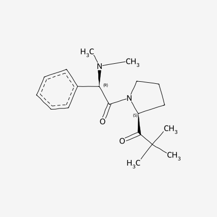 CN(C)[C@@H](C(=O)N1CCC[C@H]1C(=O)C(C)(C)C)c1ccccc1